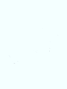 [O]c1c(Cl)ccc2c1Cc1ccccc1-2